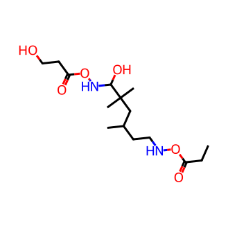 CCC(=O)ONCCC(C)CC(C)(C)C(O)NOC(=O)CCO